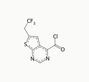 O=C(Cl)c1ncnc2sc(CC(F)(F)F)cc12